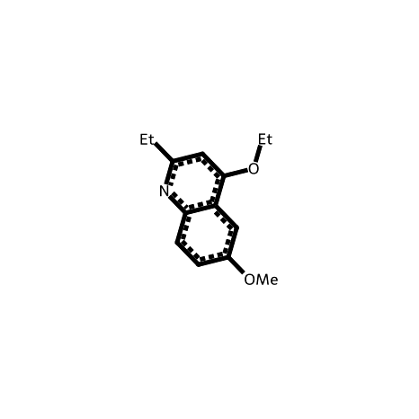 CCOc1cc(CC)nc2ccc(OC)cc12